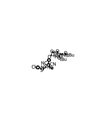 C[C@H](NC(=O)[C@H](CCCNC(=O)OC(C)(C)C)NC(=O)OC(C)(C)C)C(=O)OCCOc1ccc(-c2c(C#N)c(SCc3csc(-c4ccc(Cl)cc4)n3)nc(N3CCCC3)c2C#N)cc1